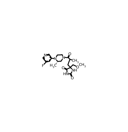 COCC1(CC(C)C(=O)N2CCN(c3cncc(F)c3)[C@@H](C)C2)NC(=O)NC1=O